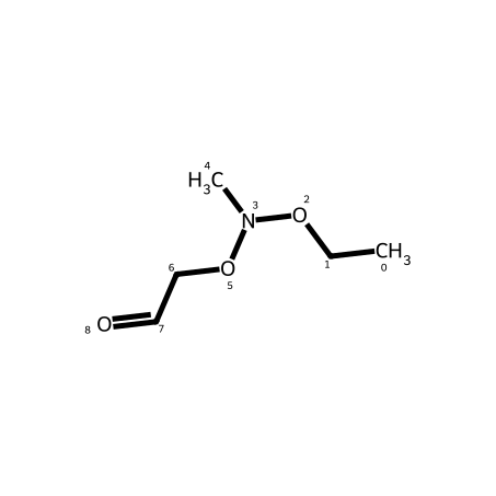 CCON(C)OCC=O